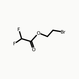 O=C(OCCBr)C(F)F